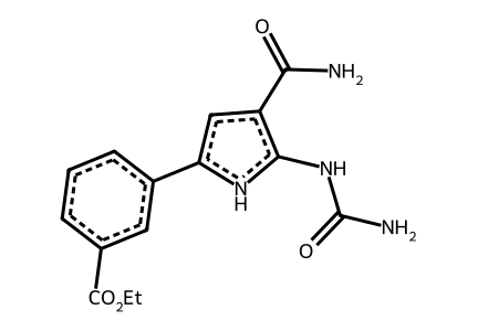 CCOC(=O)c1cccc(-c2cc(C(N)=O)c(NC(N)=O)[nH]2)c1